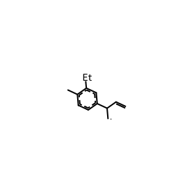 [CH2]C(C=C)c1ccc(C)c(CC)c1